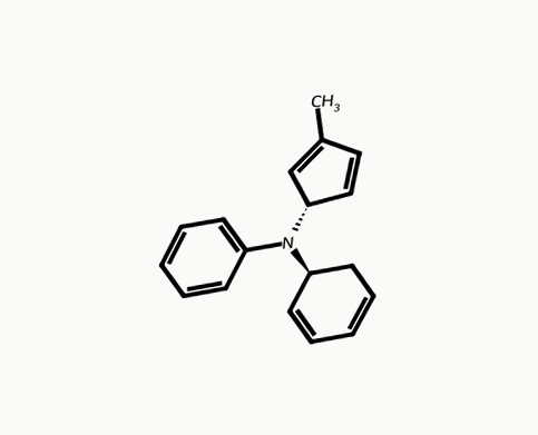 CC1=C[C@@H](N(c2ccccc2)[C@@H]2C=CC=CC2)C=C1